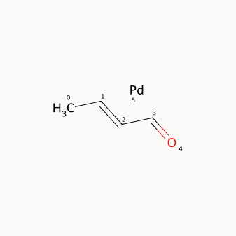 CC=CC=O.[Pd]